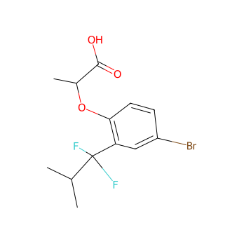 CC(Oc1ccc(Br)cc1C(F)(F)C(C)C)C(=O)O